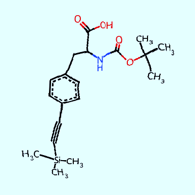 CC(C)(C)OC(=O)NC(Cc1ccc(C#C[Si](C)(C)C)cc1)C(=O)O